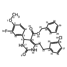 COc1ccc(C2NC(=O)NC(CCc3cccc(Cl)c3)=C2C(=O)OCc2ccccc2)cc1F